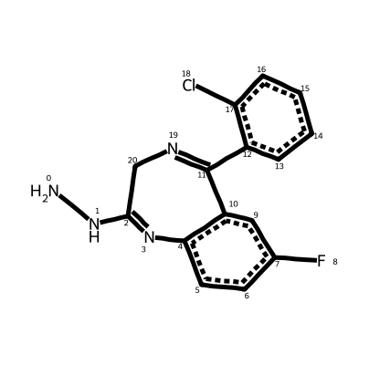 NNC1=Nc2ccc(F)cc2C(c2ccccc2Cl)=NC1